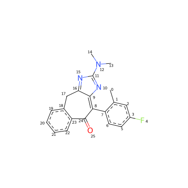 Cc1cc(F)ccc1C1=C2N=C(N(C)C)N=C2Cc2ccccc2C1=O